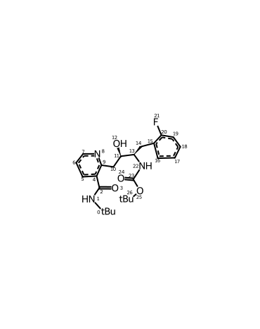 CC(C)(C)NC(=O)c1cccnc1C[C@@H](O)[C@@H](Cc1ccccc1F)NC(=O)OC(C)(C)C